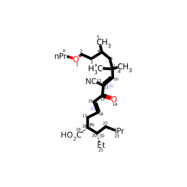 CCCOCCC(C)CC(C)(C)/C=C(\C#N)C(=O)/C=C/C[C@@H](C(=O)O)[C@@H](CC)CC(C)C